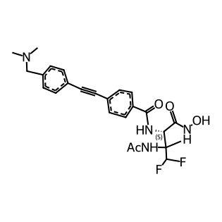 CC(=O)NC(C)(C(F)F)[C@H](NC(=O)c1ccc(C#Cc2ccc(CN(C)C)cc2)cc1)C(=O)NO